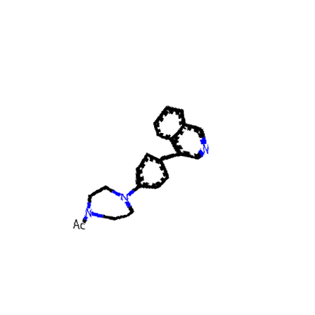 CC(=O)N1CCN(c2ccc(-c3cncc4ccccc34)cc2)CC1